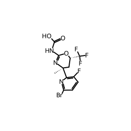 C[C@@]1(c2nc(Br)ccc2F)C[C@@H](C(F)(F)F)OC(NC(=O)O)=N1